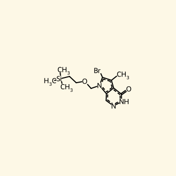 Cc1c(Br)n(COCC[Si](C)(C)C)c2cn[nH]c(=O)c12